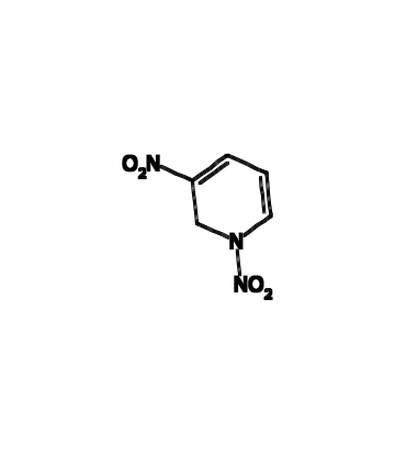 O=[N+]([O-])C1=CC=CN([N+](=O)[O-])C1